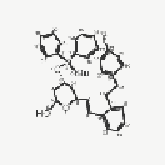 CC(C)(C)[Si](O[C@H]1CC(O)O[C@H](C=Cc2ccccc2CCc2ccc(F)cc2)C1)(c1ccccc1)c1ccccc1